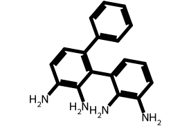 Nc1cccc(-c2c(-c3ccccc3)ccc(N)c2N)c1N